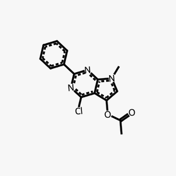 CC(=O)Oc1cn(C)c2nc(-c3ccccc3)nc(Cl)c12